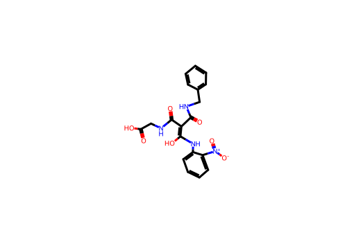 O=C(O)CNC(=O)/C(C(=O)NCc1ccccc1)=C(\O)Nc1ccccc1[N+](=O)[O-]